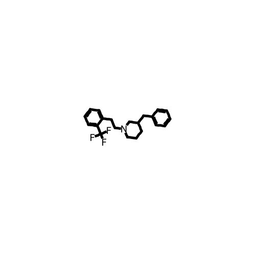 FC(F)(F)c1ccccc1CCN1CCCC(Cc2ccccc2)C1